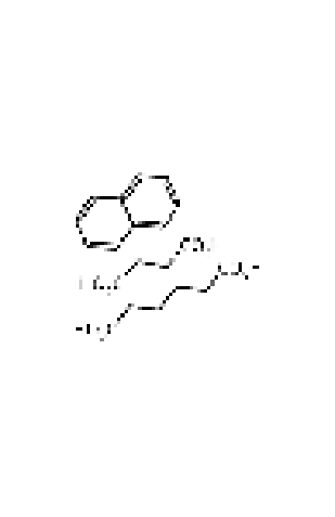 O=C(O)CCC(=O)O.O=C(O)CCCCC(=O)O.c1ccc2ccccc2c1